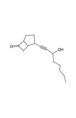 CCCCCC(O)C#CC1CCC2C(=O)CC12